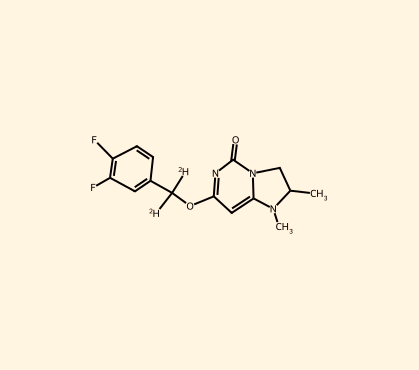 [2H]C([2H])(Oc1cc2n(c(=O)n1)CC(C)N2C)c1ccc(F)c(F)c1